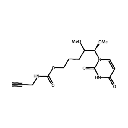 C#CCNC(=O)OCCCC(OC)[C@@H](OC)n1ccc(=O)[nH]c1=O